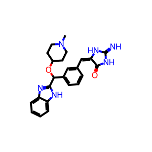 CN1CCC(OC(c2cccc(C=C3NC(=N)NC3=O)c2)c2nc3ccccc3[nH]2)CC1